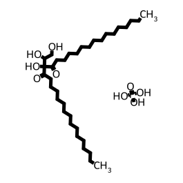 CCCCCCCCCCCCCCCC(=O)C(O)(C(=O)CCCCCCCCCCCCCCC)C(O)CO.O=P(O)(O)O